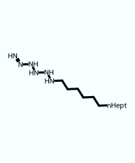 [CH2]CCCCCCCCCCCCNNNNN=N